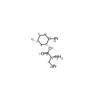 CC(C)C[C@H](N)C(=O)O[C@@H]1C[C@H](C)CCC1C(C)C